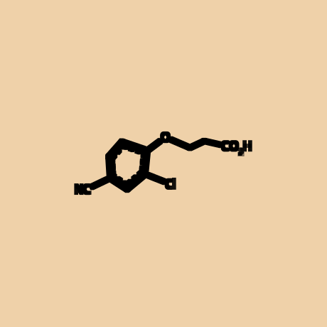 N#Cc1ccc(OCCC(=O)O)c(Cl)c1